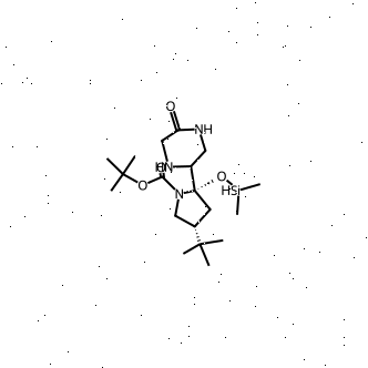 C[SiH](C)O[C@]1(C2CNC(=O)CN2)C[C@H](C(C)(C)C)CN1C(=O)OC(C)(C)C